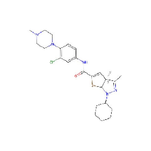 CC1=NN(C2CCCCC2)C2SC(C(=O)Nc3ccc(N4CCN(C)CC4)c(Cl)c3)=C[C@@]12C